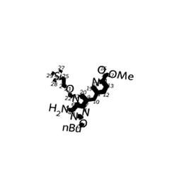 CCCCOc1nc(N)c2c(n1)c(Cc1ccc(C(=O)OC)nc1)cn2COCC[Si](C)(C)C